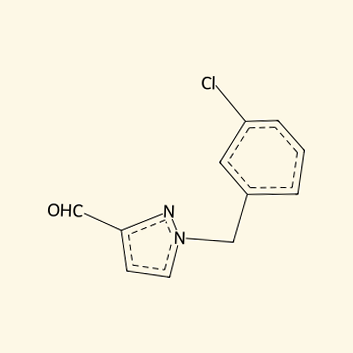 O=Cc1ccn(Cc2cccc(Cl)c2)n1